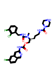 CN(C(=O)NCc1cccc(F)c1Cl)[C@@H](CCCNC(=O)N1CCNCC1)COC(=O)Nc1cc2cc(F)ccc2cn1